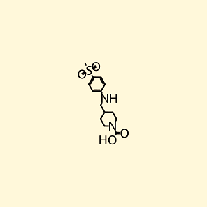 CS(=O)(=O)c1ccc(NCC2CCN(C(=O)O)CC2)cc1